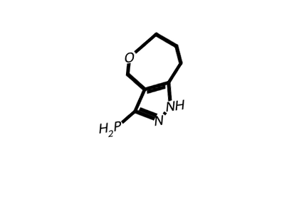 Pc1n[nH]c2c1COCCC2